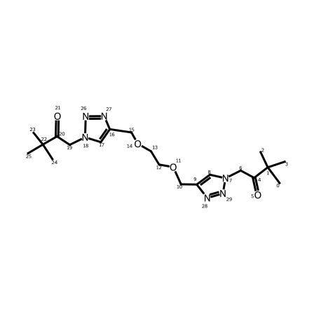 CC(C)(C)C(=O)Cn1cc(COCCOCc2cn(CC(=O)C(C)(C)C)nn2)nn1